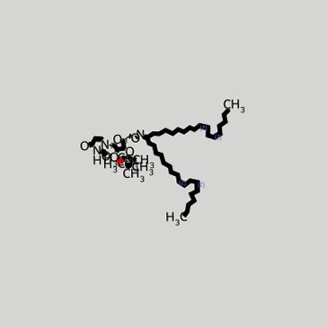 CCCCC/C=C\C/C=C\CCCCCCCCC(CCCCCCCC/C=C\C/C=C\CCCCC)=NOC[C@H]1O[C@@H](n2ccc(=O)[nH]c2=O)C(OC)C1O[Si](C)(C)C(C)(C)C